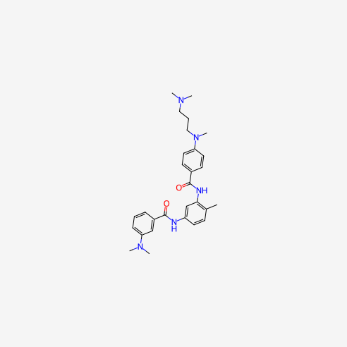 Cc1ccc(NC(=O)c2cccc(N(C)C)c2)cc1NC(=O)c1ccc(N(C)CCCN(C)C)cc1